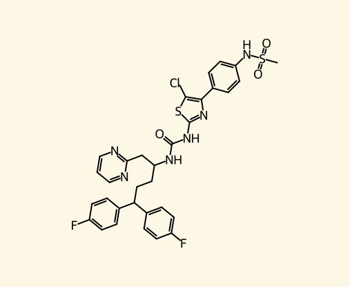 CS(=O)(=O)Nc1ccc(-c2nc(NC(=O)NC(CCC(c3ccc(F)cc3)c3ccc(F)cc3)Cc3ncccn3)sc2Cl)cc1